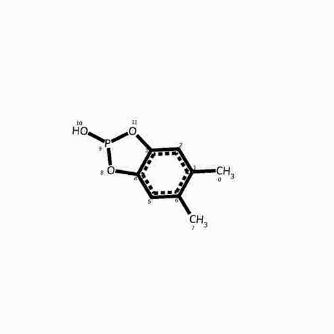 Cc1cc2c(cc1C)OP(O)O2